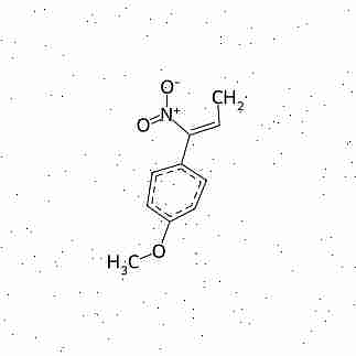 [CH2]/C=C(/c1ccc(OC)cc1)[N+](=O)[O-]